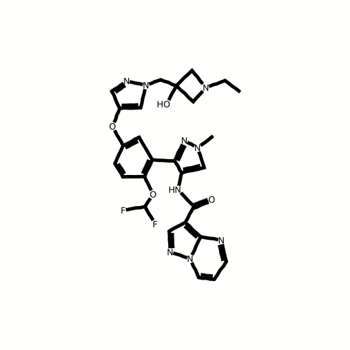 CCN1CC(O)(Cn2cc(Oc3ccc(OC(F)F)c(-c4nn(C)cc4NC(=O)c4cnn5cccnc45)c3)cn2)C1